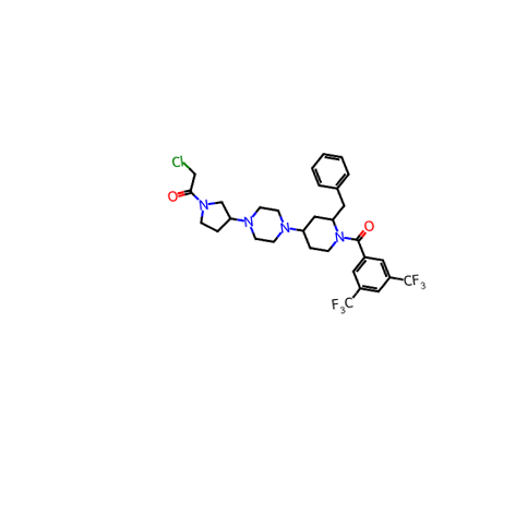 O=C(CCl)N1CCC(N2CCN(C3CCN(C(=O)c4cc(C(F)(F)F)cc(C(F)(F)F)c4)C(Cc4ccccc4)C3)CC2)C1